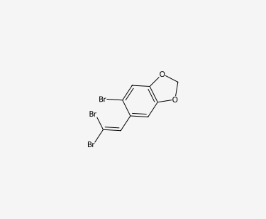 BrC(Br)=Cc1cc2c(cc1Br)OCO2